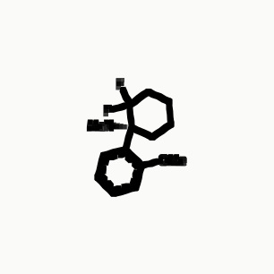 CN[C@@]1(c2ccccc2OC)CCCCC1(F)F